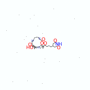 COC1/C=C/CC/C=C/C(=O)OC([C@H](C)C(=O)CCCC2CC(=O)NC(=O)C2)/C(C)=C\[C@@H](C)[C@@H]1O